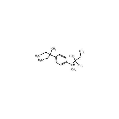 CCC(C)(CC)c1ccc([SiH](C)C(C)(C)CC)cc1